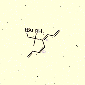 BC(C)(CC(C)(C)C)C(/C=C\C=C)=C/C=C